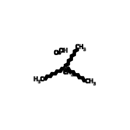 CCCCCCCCC[N+](C)(CCCCCCCCC)CCCCCCCCC.O=CO